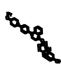 CC(C)OC1CCN(c2ccc(N3CCN(OC(=O)NC4[C@@H]5CC6C[C@H]4CC(O)(C6)C5)c4ccccc43)cc2)CC1